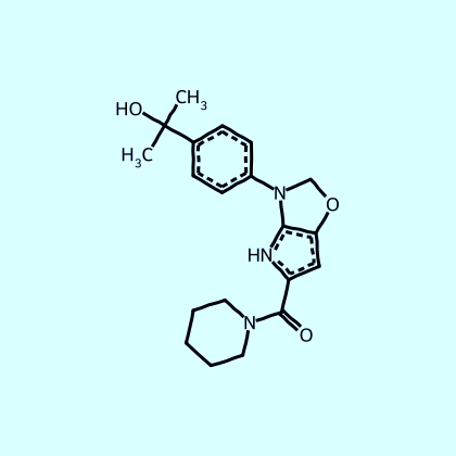 CC(C)(O)c1ccc(N2COc3cc(C(=O)N4CCCCC4)[nH]c32)cc1